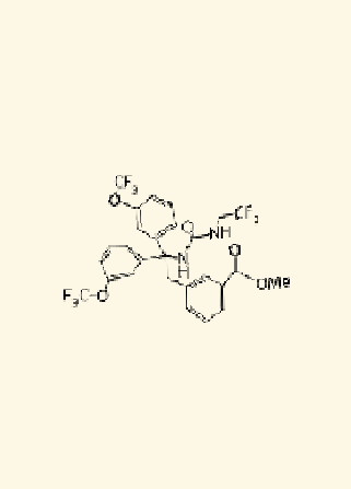 COC(=O)c1cccc(CC(NC(=O)NCC(F)(F)F)(c2cccc(OC(F)(F)F)c2)c2cccc(OC(F)(F)F)c2)c1